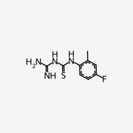 Cc1cc(F)ccc1NC(=S)NC(=N)N